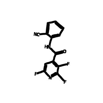 N#Cc1ccccc1NC(=O)c1cc(F)nc(F)c1F